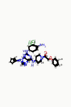 Cl.Cl.N[C@H]1CC[C@H](Nc2nc(NC3CCN(C(=O)COc4ccccc4)CC3)c3ncn(C4CCCC4)c3n2)CC1